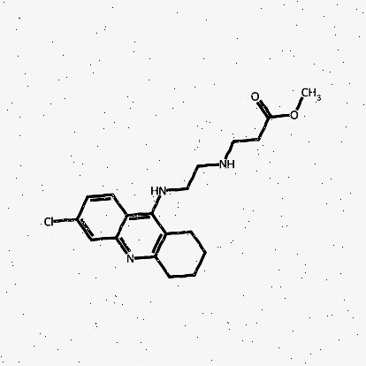 COC(=O)CCNCCNc1c2c(nc3cc(Cl)ccc13)CCCC2